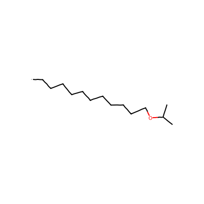 [CH2]CCCCCCCCCCCOC(C)C